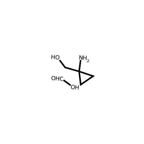 NC1(CO)CC1.O=CO